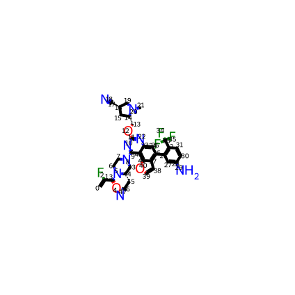 C=C(F)C(=O)N1CCN(c2nc(OC[C@@H]3C[C@@H](C#N)CN3C)nc3cc(-c4cc(N)ccc4C(F)(F)F)c4ccoc4c23)C[C@@H]1CC#N